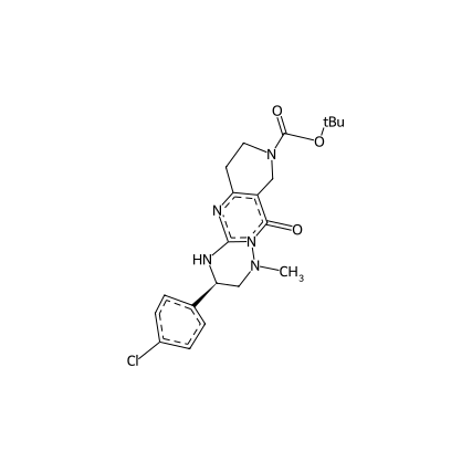 CN1C[C@@H](c2ccc(Cl)cc2)Nc2nc3c(c(=O)n21)CN(C(=O)OC(C)(C)C)CC3